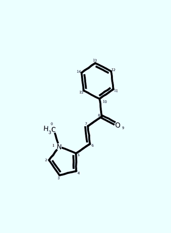 Cn1cccc1/C=C/C(=O)c1ccccc1